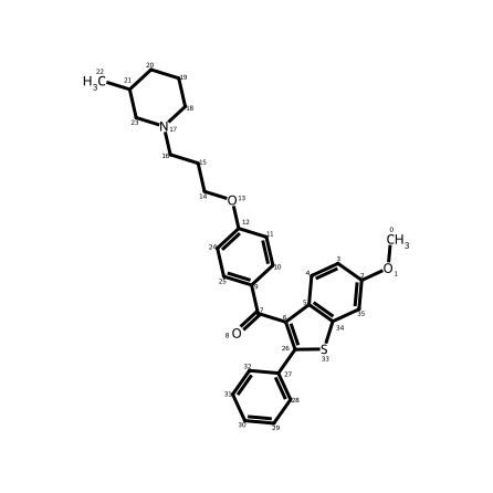 COc1ccc2c(C(=O)c3ccc(OCCCN4CCCC(C)C4)cc3)c(-c3ccccc3)sc2c1